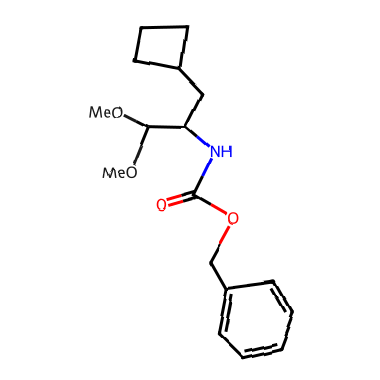 COC(OC)C(CC1CCC1)NC(=O)OCc1ccccc1